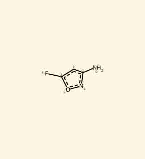 Nc1cc(F)on1